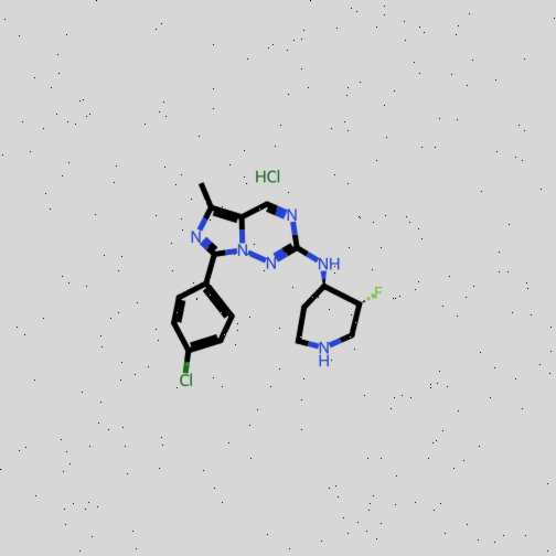 Cc1nc(-c2ccc(Cl)cc2)n2nc(N[C@@H]3CCNC[C@H]3F)ncc12.Cl